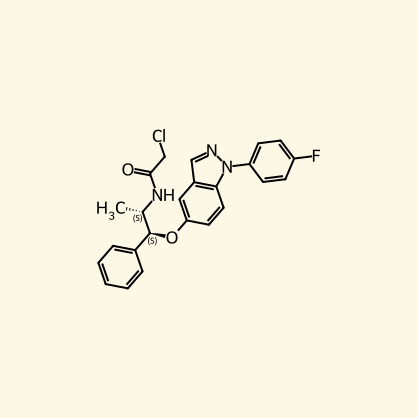 C[C@H](NC(=O)CCl)[C@@H](Oc1ccc2c(cnn2-c2ccc(F)cc2)c1)c1ccccc1